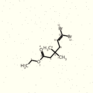 CCOC(=O)CC(C)(C)CC=C(Br)Br